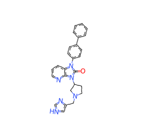 O=c1n(-c2ccc(-c3ccccc3)cc2)c2cccnc2n1C1CCN(Cc2c[nH]cn2)C1